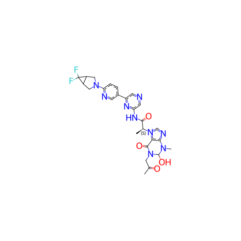 CC(=O)CN1C(=O)c2c(ncn2[C@@H](C)C(=O)Nc2cncc(-c3ccc(N4CC5C(C4)C5(F)F)nc3)n2)N(C)C1O